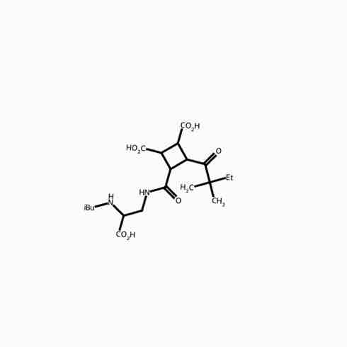 CCC(C)NC(CNC(=O)C1C(C(=O)O)C(C(=O)O)C1C(=O)C(C)(C)CC)C(=O)O